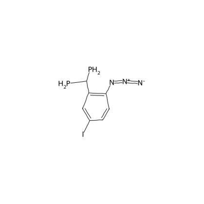 [N-]=[N+]=Nc1ccc(I)cc1C(P)P